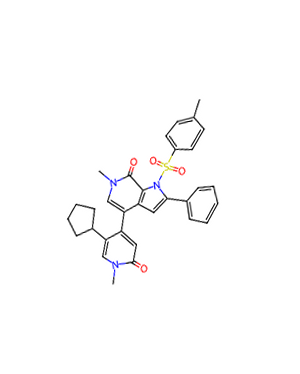 Cc1ccc(S(=O)(=O)n2c(-c3ccccc3)cc3c(-c4cc(=O)n(C)cc4C4CCCC4)cn(C)c(=O)c32)cc1